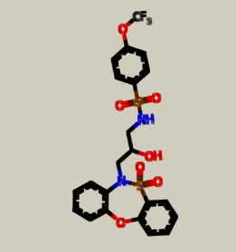 O=S(=O)(NCC(O)CN1c2ccccc2Oc2ccccc2S1(=O)=O)c1ccc(OC(F)(F)F)cc1